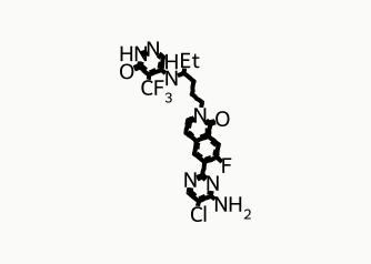 CCC(CCCn1ccc2cc(-c3ncc(Cl)c(N)n3)c(F)cc2c1=O)Nc1cn[nH]c(=O)c1C(F)(F)F